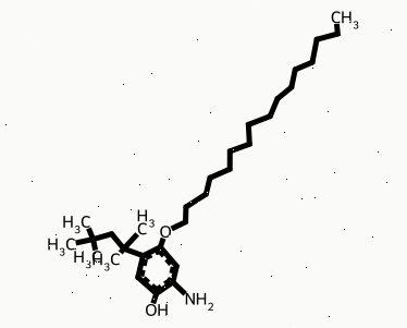 CCCCCCCCCCCCCCCCOc1cc(N)c(O)cc1C(C)(C)CC(C)(C)C